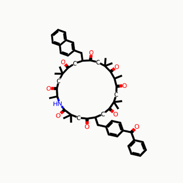 CC1NC(=O)C(C)(C)CC(=O)C(Cc2ccc(C(=O)c3ccccc3)cc2)CC(=O)C(C)(C)CC(=O)C(C)C(=O)C(C)(C)CC(=O)C(Cc2ccc3ccccc3c2)CC(=O)C(C)(C)CC1=O